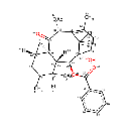 CC[C@]1(OC(C)=O)C(C)C[C@@H]2C[C@@]23C(=O)[C@H](OC(C)=O)C2=C(C)CC[C@@](O)([C@@H](OC(=O)c4ccccc4)[C@@H]31)C2(C)C